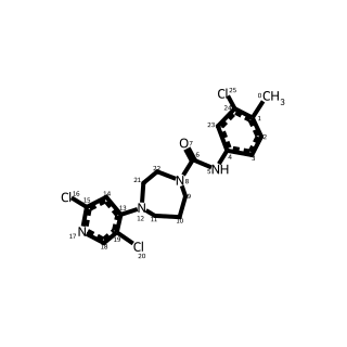 Cc1ccc(NC(=O)N2CCCN(c3cc(Cl)ncc3Cl)CC2)cc1Cl